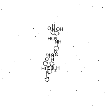 O=C(COc1cccc([C@@](O)(C(=O)O)c2ccccc2CC2CCN(Cc3ccccc3)CC2)c1)NCC(=O)N1CCC(CNC[C@H](O)c2ccc(O)c3[nH]c(=O)ccc23)CC1